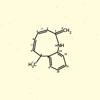 C=C1/C=C\C=C/C(C)c2ccccc2N1